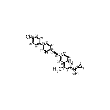 Cc1cc(N(C(C)C)C2CC2)nc2ccc(C#Cc3ccc(-c4ccc(Cl)cc4)cn3)cc12